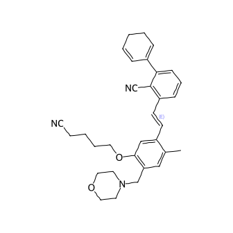 Cc1cc(CN2CCOCC2)c(OCCCCC#N)cc1/C=C/c1cccc(C2=CCCC=C2)c1C#N